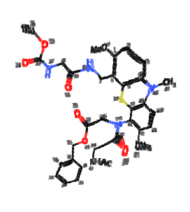 COc1ccc2c(c1CNC(=O)CNC(=O)OC(C)(C)C)Sc1c(ccc(OC)c1N(CC(=O)OCc1ccccc1)C(=O)CNC(C)=O)N2C